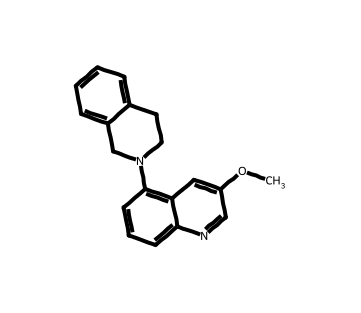 COc1cnc2cccc(N3CCc4ccccc4C3)c2c1